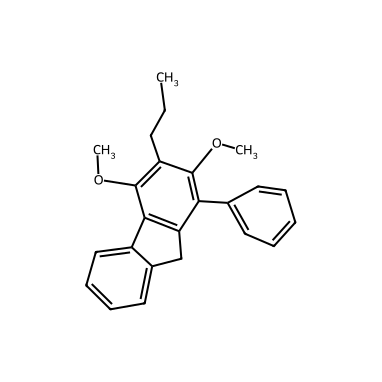 CCCc1c(OC)c(-c2ccccc2)c2c(c1OC)-c1ccccc1C2